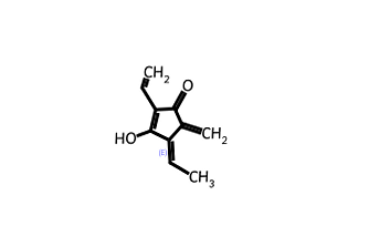 C=CC1=C(O)/C(=C/C)C(=C)C1=O